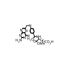 COC(=O)[C@H](CCC(=O)O)NC(=O)c1ccc(N(C)Cc2cnc3nc(N)nc(N)c3n2)cc1